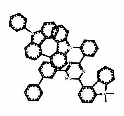 C[Si]1(C)c2ccccc2-c2c(C3N=C(c4ccccc4-n4c5ccccc5c5c(-c6cccc7c6c6ccccc6n7-c6ccccc6)cccc54)N=C(c4cccc(-c5ccccc5)c4)N3)cccc21